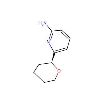 Nc1cccc([C@@H]2CCCCO2)n1